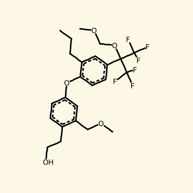 CCCc1cc(C(OCOC)(C(F)(F)F)C(F)(F)F)ccc1Oc1ccc(CCO)c(COC)c1